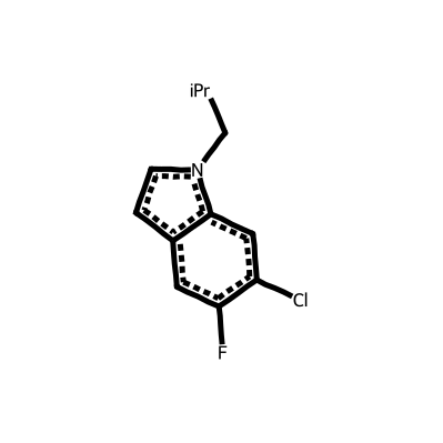 CC(C)Cn1ccc2cc(F)c(Cl)cc21